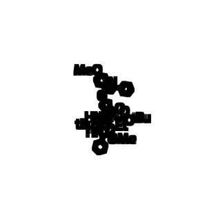 CC[C@H](NC(=O)C1CC(Oc2cc(-c3ccccc3)nc3cc(OC)ccc23)C=C1C(=O)N[C@@H](C(=O)N[C@@H](C(=O)OC)C1CCCCC1)C(C)(C)C)C(=O)OC(C)(C)C